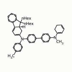 CCCCCCC1(CCCCCC)c2ccccc2C2=CC=C(N(c3ccc(C)cc3)c3ccc(-c4ccc(N(C)C5=CC=CCC5)cc4)cc3)C[C@H]21